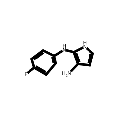 Nc1cc[nH]c1Nc1ccc(F)cc1